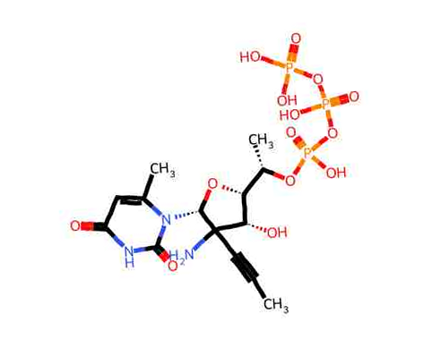 CC#CC1(N)[C@@H](O)[C@@H]([C@H](C)OP(=O)(O)OP(=O)(O)OP(=O)(O)O)O[C@H]1n1c(C)cc(=O)[nH]c1=O